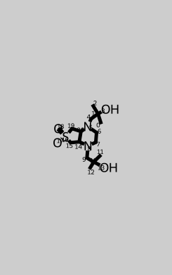 CC(C)(O)CN1CCN(CC(C)(C)O)C2CS(=O)(=O)CC21